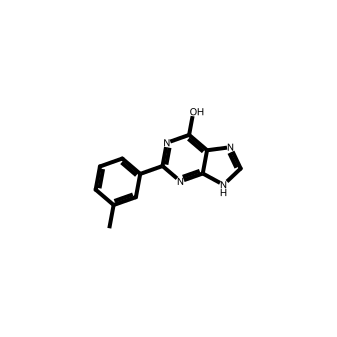 Cc1cccc(-c2nc(O)c3nc[nH]c3n2)c1